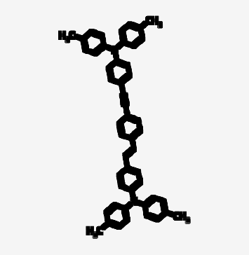 Cc1ccc(N(c2ccc(C)cc2)c2ccc(C#Cc3ccc(C=Cc4ccc(N(c5ccc(C)cc5)c5ccc(C)cc5)cc4)cc3)cc2)cc1